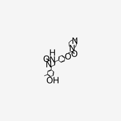 Cc1cc(-c2cc(-c3ccc(OCC(=O)N4CCCN(C)CC4)cc3)[nH]c(=O)n2)ccc1O